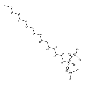 CCCCCCCCCCCCCCCCC[Si](C)(OC(C)C)OC(C)C